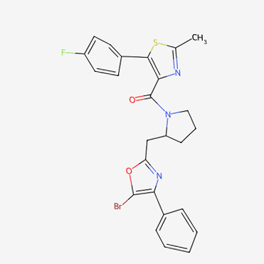 Cc1nc(C(=O)N2CCCC2Cc2nc(-c3ccccc3)c(Br)o2)c(-c2ccc(F)cc2)s1